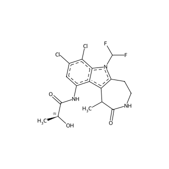 CC1C(=O)NCCc2c1c1c(NC(=O)[C@H](C)O)cc(Cl)c(Cl)c1n2C(F)F